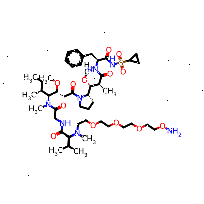 CC[C@H](C)[C@@H]([C@@H](CC(=O)N1CCC[C@H]1[C@H](OC)[C@@H](C)C(=O)N[C@@H](Cc1ccccc1)C(=O)NS(=O)(=O)C1CC1)OC)N(C)C(=O)CNC(=O)C(C(C)C)N(C)CCOCCOCCOCCON